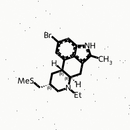 CCN1C[C@H](CSC)C[C@@H]2c3cc(Br)cc4[nH]c(C)c(c34)C[C@H]21